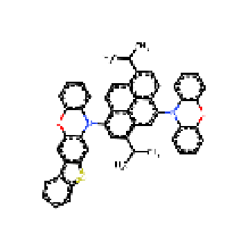 CC(C)c1ccc2c(N3c4ccccc4Oc4ccccc43)cc3c(C(C)C)cc(N4c5ccccc5Oc5cc6c(cc54)sc4ccccc46)c4ccc1c2c34